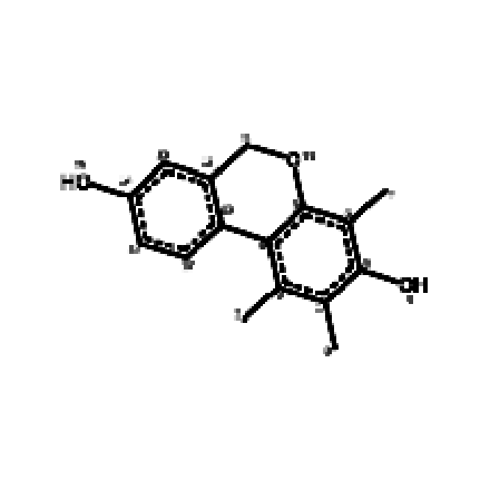 Cc1c(C)c2c(c(C)c1O)OCc1cc(O)ccc1-2